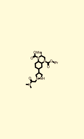 COC(=O)N1C2CCC(C3CNN(CC(=O)N(C)C)C3)CC2N(C(=O)OC(C)C)C[C@@H]1C